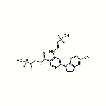 CC(C)(O)C=CNc1cc(-n2ccc3cc(C#N)cnc32)ncc1C(=O)NCC(F)C(C)(C)O